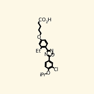 CCc1cc(OCCCCC(=O)O)ccc1-c1noc(-c2ccc(OC(C)C)c(Cl)c2)n1